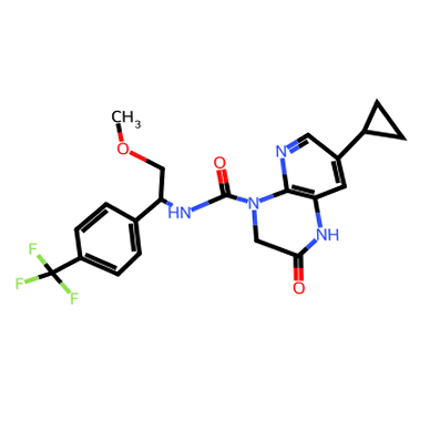 COCC(NC(=O)N1CC(=O)Nc2cc(C3CC3)cnc21)c1ccc(C(F)(F)F)cc1